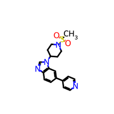 CS(=O)(=O)N1CCC(n2cnc3ccc(-c4ccncc4)cc32)CC1